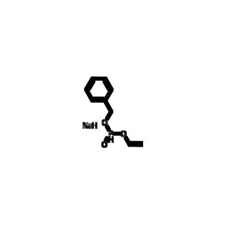 C=CO[PH](=O)OCc1ccccc1.[NaH]